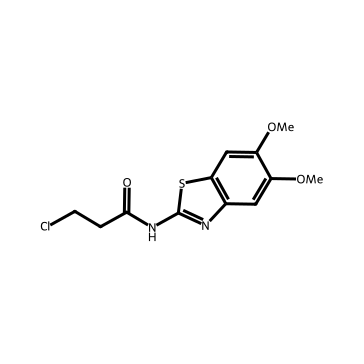 COc1cc2nc(NC(=O)CCCl)sc2cc1OC